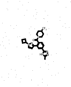 Cc1nnc(-c2ccc(C(=O)N3CCC(C(F)(F)F)CC3)c(-c3ccn(C4CCC4)n3)c2)[nH]1